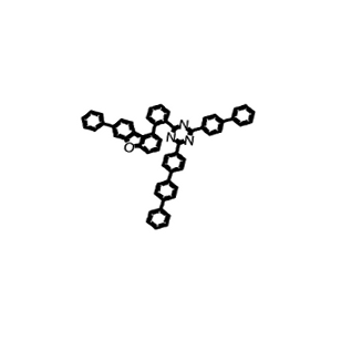 c1ccc(-c2ccc(-c3ccc(-c4nc(-c5ccc(-c6ccccc6)cc5)nc(-c5ccccc5-c5cccc6oc7cc(-c8ccccc8)ccc7c56)n4)cc3)cc2)cc1